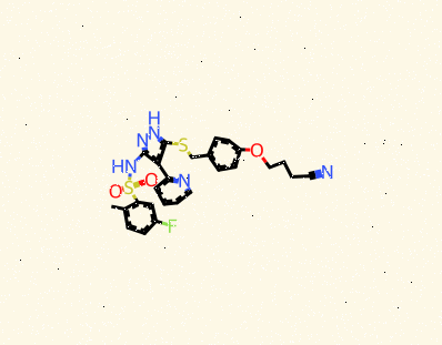 Cc1ccc(F)cc1S(=O)(=O)Nc1n[nH]c(SCc2ccc(OCCCC#N)cc2)c1-c1ccccn1